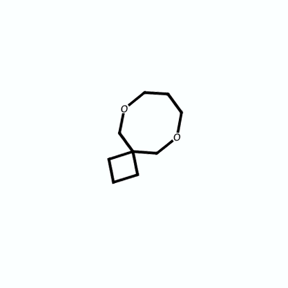 C1COCC2(CCC2)COC1